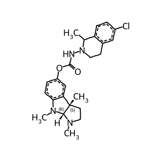 CC1c2ccc(Cl)cc2CCN1NC(=O)Oc1ccc2c(c1)[C@]1(C)CCN(C)[C@@H]1N2C